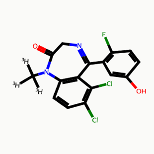 [3H]C([3H])([3H])N1C(=O)CN=C(c2cc(O)ccc2F)c2c1ccc(Cl)c2Cl